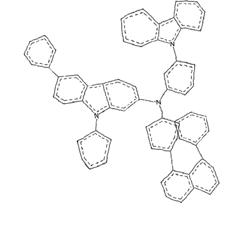 c1ccc(-c2ccc3c(c2)c2ccc(N(c4ccc(-c5cccc6cccc(-c7ccccc7)c56)cc4)c4cccc(-n5c6ccccc6c6ccccc65)c4)cc2n3-c2ccccc2)cc1